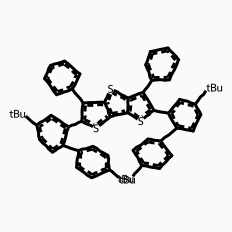 CC(C)(C)c1ccc(-c2ccc(C(C)(C)C)cc2-c2sc3c(sc4c(-c5ccccc5)c(-c5cc(C(C)(C)C)ccc5-c5ccc(C(C)(C)C)cc5)sc43)c2-c2ccccc2)cc1